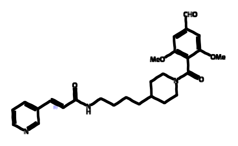 COc1cc(C=O)cc(OC)c1C(=O)N1CCC(CCCCNC(=O)/C=C/c2cccnc2)CC1